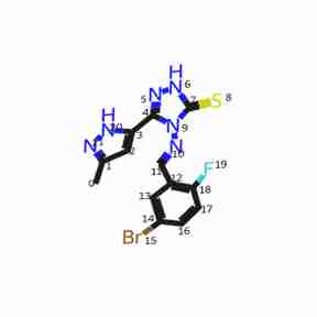 Cc1cc(-c2n[nH]c(=S)n2/N=C/c2cc(Br)ccc2F)[nH]n1